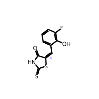 O=C1NC(=S)S/C1=C/c1cccc(F)c1O